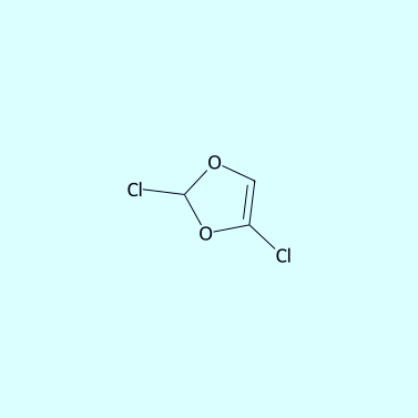 ClC1=COC(Cl)O1